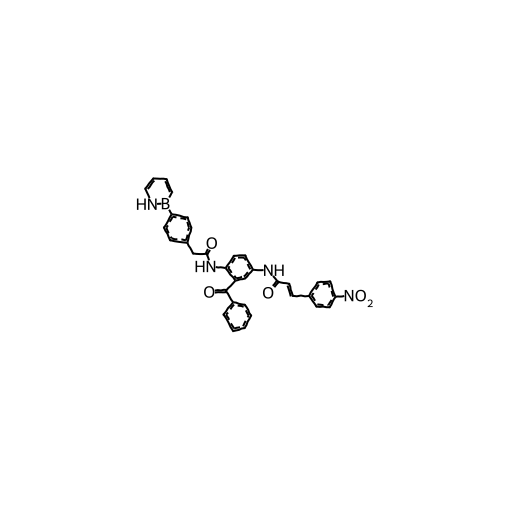 O=C(/C=C/c1ccc([N+](=O)[O-])cc1)Nc1ccc(NC(=O)Cc2ccc(B3C=CC=CN3)cc2)c(C(=O)c2ccccc2)c1